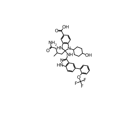 CC(CC(N)=O)CC1(Nc2n[nH]c3ccc(-c4ccccc4OC(F)(F)F)cc23)Nc2cc(C(=O)O)ccc2N1C1CCC(O)CC1